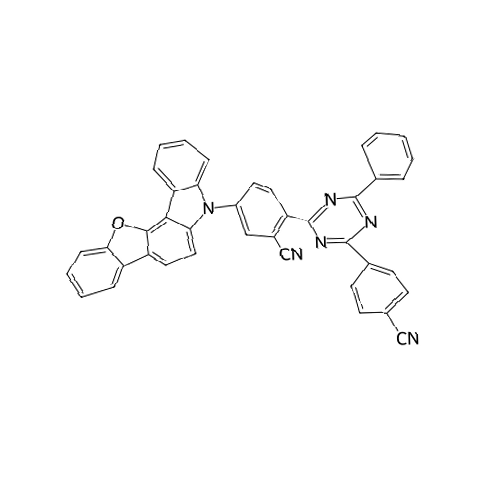 N#Cc1ccc(-c2nc(-c3ccccc3)nc(-c3ccc(-n4c5ccccc5c5c6oc7ccccc7c6ccc54)cc3C#N)n2)cc1